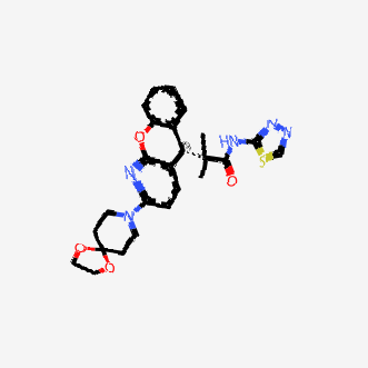 CC(C)(C(=O)Nc1nncs1)[C@H]1c2ccccc2Oc2nc(N3CCC4(CC3)OCCO4)ccc21